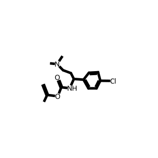 C=C(C)OC(=O)NC(CCN(C)C)c1ccc(Cl)cc1